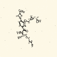 COC1CN(c2ccc(C(=O)N[C@H](COCCCF)C(C)C)nc2OC[C@H]2C[C@@H]2CO)C1